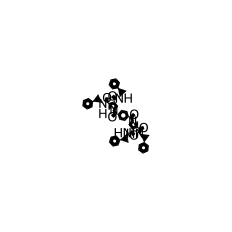 O=C(N[C@H]1C[C@@H]1c1ccccc1)[C@@H]1CN(C(=O)[C@H]2CC[C@@H](C(=O)N3C[C@@H](C(=O)N[C@H]4C[C@@H]4c4ccccc4)[C@H](C(=O)N[C@H]4C[C@@H]4c4ccccc4)C3)CC2)C[C@H]1C(=O)N[C@H]1C[C@@H]1c1ccccc1